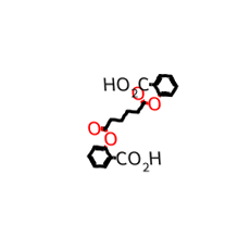 O=C(CCCCC(=O)Oc1ccccc1C(=O)O)Oc1ccccc1C(=O)O